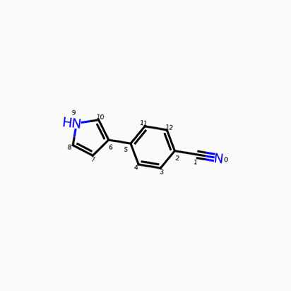 N#Cc1ccc(-c2cc[nH]c2)cc1